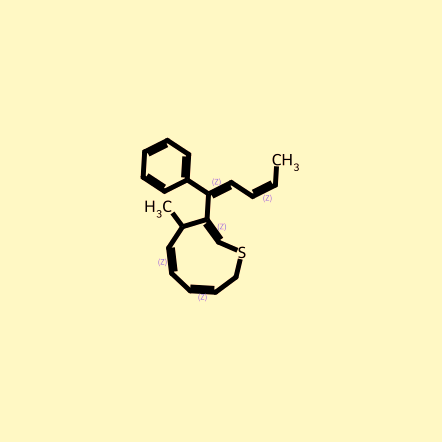 C\C=C/C=C(\C1=C/SC/C=C\C=C/C1C)c1ccccc1